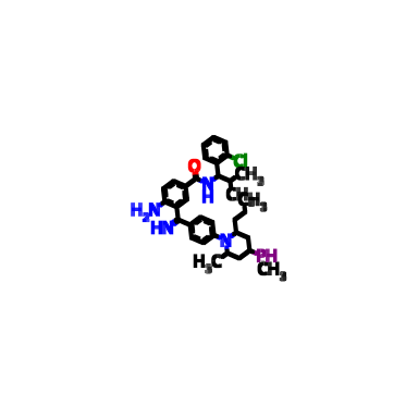 CCCC1CC(PC)CC(C)N1c1ccc(C(=N)c2cc(C(=O)NC(c3ccccc3Cl)C(C)C)ccc2N)cc1